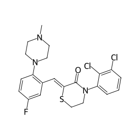 CN1CCN(c2ccc(F)cc2C=C2SCCN(c3cccc(Cl)c3Cl)C2=O)CC1